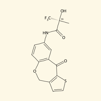 C[C@](O)(C(=O)Nc1ccc2c(c1)C(=O)c1sccc1CO2)C(F)(F)F